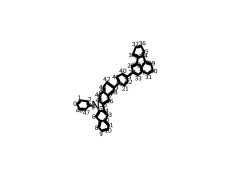 c1ccc(-n2c3cc4ccccc4cc3c3cc4cc(-c5ccc(-c6cc7c8c(cccc8c6)-c6ccccc6-7)cc5)ccc4cc32)cc1